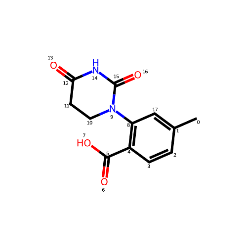 Cc1ccc(C(=O)O)c(N2CCC(=O)NC2=O)c1